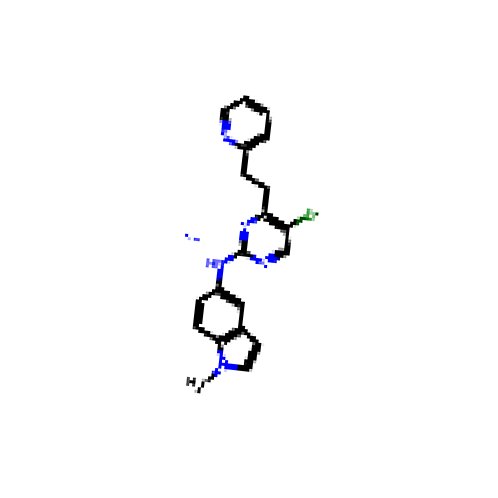 Cn1ccc2cc(Nc3ncc(Br)c(CCc4ccccn4)n3)ccc21.N